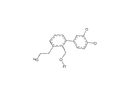 CCOCc1c(CCO)cccc1-c1ccc(Cl)c(Cl)c1